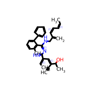 C#C/C(=C\C(=C/C)C(=N)/N=C(/NCC(=C)/C=C\C=C/C)c1c(C)cccc1-c1ccccc1)C(C)O